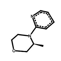 C[C@H]1COCCN1c1ccccn1